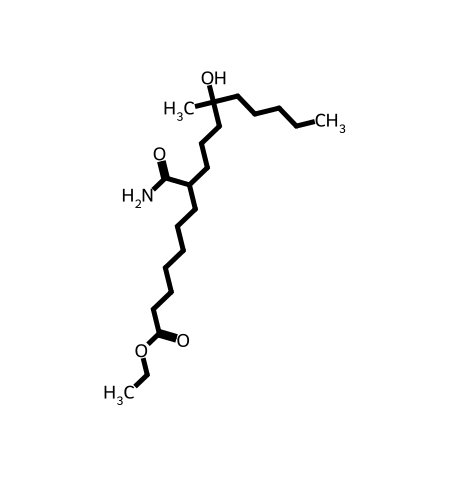 CCCCCC(C)(O)CCCC(CCCCCCC(=O)OCC)C(N)=O